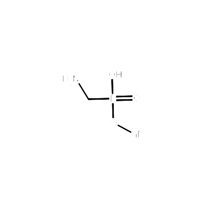 CCCOP(=O)(O)CN